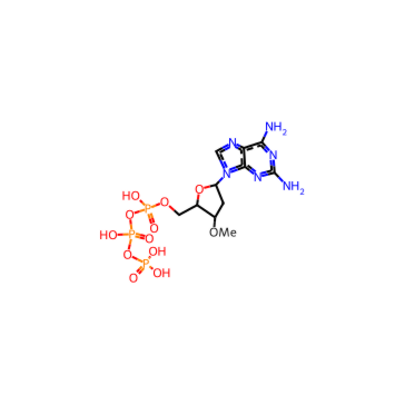 COC1CC(n2cnc3c(N)nc(N)nc32)OC1COP(=O)(O)OP(=O)(O)OP(=O)(O)O